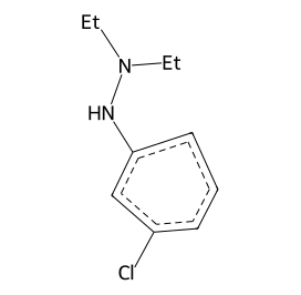 CCN(CC)Nc1cccc(Cl)c1